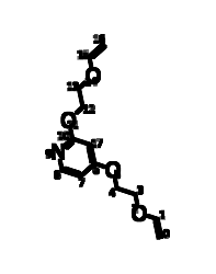 C=COCCOc1ccnc(OCCOC=C)c1